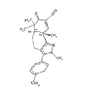 Cc1ccc(-c2c3c(nn2C)[C@@]2(C)C=C(C#N)C(=O)C(C)(C)[C@@H]2CC3)cc1